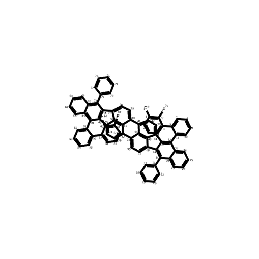 Fc1cccc(-c2ccccc2-c2c3c(c(-c4ccccc4)c4ccccc24)-c2ccc4c5ccc6c7c(ccc(c8ccc-3c2c48)c75)-c2c-6c(-c3ccccc3-c3cccc(F)c3F)c3ccccc3c2-c2ccccc2)c1F